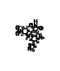 Cn1cc(C2=C(c3cn(C)c4cc([N+](=O)[O-])ccc34)C(=O)NC2=O)c2ccc(-c3ccns3)cc21